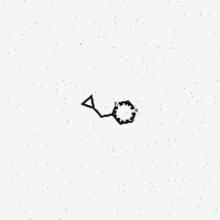 [CH](c1ccncn1)C1CC1